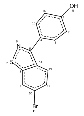 Oc1ccc(-c2nsc3cc(Br)ccc23)cc1